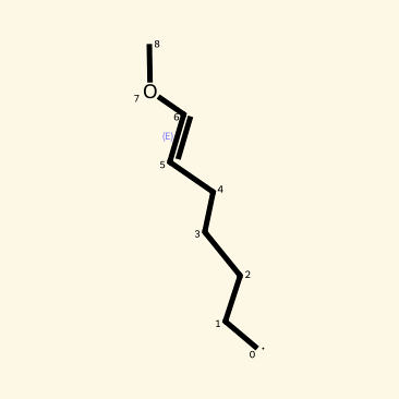 [CH2]CCCC/C=C/OC